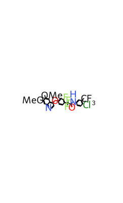 COc1cc2nccc(Oc3ccc(C(F)(F)C(=O)Nc4ccc(Cl)c(C(F)(F)F)c4)c(F)c3)c2cc1OC